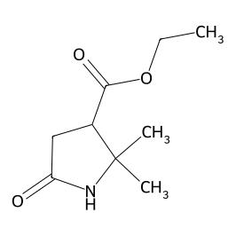 CCOC(=O)C1CC(=O)NC1(C)C